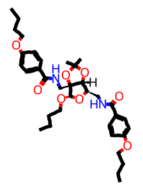 CCCCOc1ccc(C(=O)NC[C@H]2O[C@@H](OCCCC)[C@]3(CNC(=O)c4ccc(OCCCC)cc4)OC(C)(C)O[C@H]23)cc1